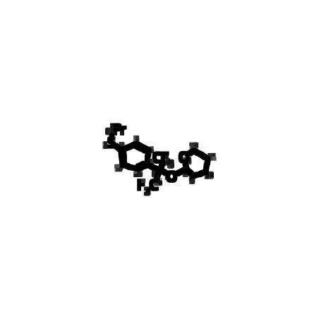 CC(C)Sc1ccc(C(OC2CCCCO2)(C(F)(F)F)C(F)(F)F)cc1